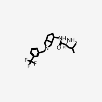 CC(C)C[C@@H](N)C(=O)NC1CCC2CN(Cc3cccc(C(F)(F)F)c3)CC21